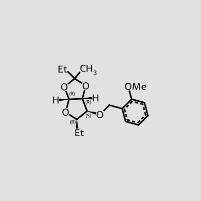 CC[C@H]1O[C@@H]2OC(C)(CC)O[C@@H]2[C@H]1OCc1ccccc1OC